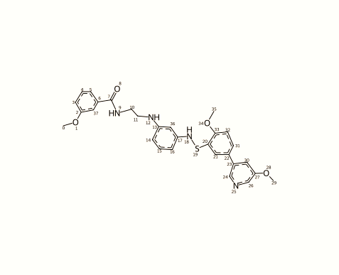 COc1cccc(C(=O)NCCNc2cccc(NSc3cc(-c4cncc(OC)c4)ccc3OC)c2)c1